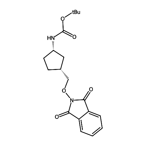 CC(C)(C)OC(=O)N[C@H]1CC[C@@H](CON2C(=O)c3ccccc3C2=O)C1